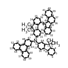 CC1(C)c2ccccc2-c2ccc(N(c3ccc4c(c3)C(C)(C)c3cccc(-n5c6ccccc6c6ccc7ccccc7c65)c3-4)c3ccc4c5ccccc5c5ccccc5c4c3)cc21